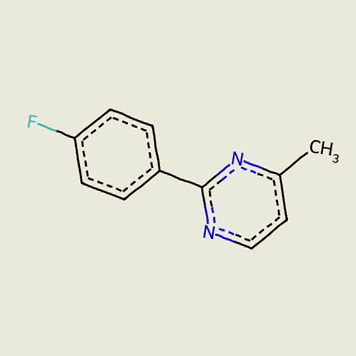 Cc1ccnc(-c2ccc(F)cc2)n1